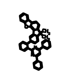 CC1(C)c2ccc(-c3ccccc3-c3nc(-c4ccccc4)cc(-c4ccccc4)n3)cc2-c2c1ccc1c2oc2ccccc21